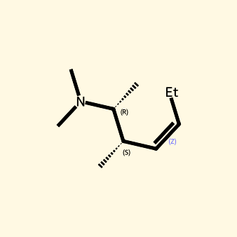 CC/C=C\[C@H](C)[C@@H](C)N(C)C